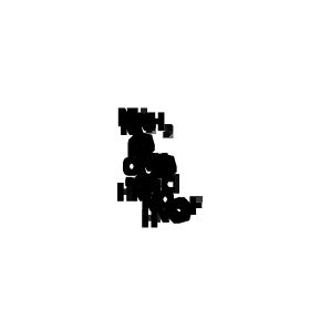 CC1=C(C(=O)Nc2ccc(/C(N)=N/N)cn2)C(c2ccccc2Cl)N=C(Nc2nc3ccc(F)cc3o2)N1